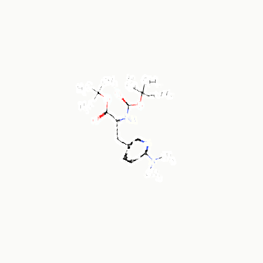 CN(C)c1ccc(CC(NC(=O)OC(C)(C)C)C(=O)OC(C)(C)C)cn1